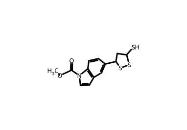 COC(=O)n1ccc2cc(C3CC(S)SS3)ccc21